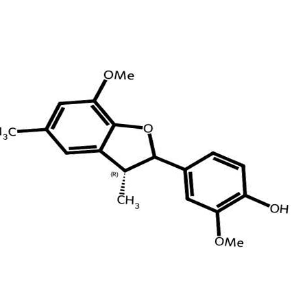 COc1cc(C2Oc3c(OC)cc(C)cc3[C@H]2C)ccc1O